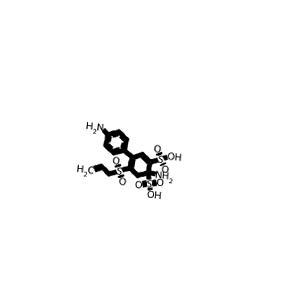 C=CCS(=O)(=O)C1=C(c2ccc(N)cc2)C=C(S(=O)(=O)O)C(N)(S(=O)(=O)O)C1